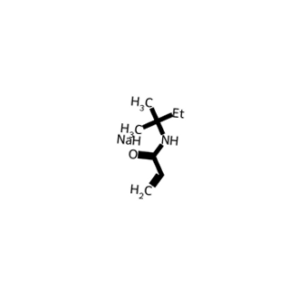 C=CC(=O)NC(C)(C)CC.[NaH]